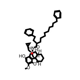 COc1cc(O)c2c3c1O[C@H]1CCC[C@H]4[C@@H](C2)[N+](CC2CC2)(NC(=O)C(CCCCCCCCCc2ccccc2)CCc2ccccc2)CC[C@]314